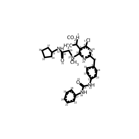 CC(C(=O)O)c1c(Cl)nc(Cc2ccc(NC(=O)Nc3ccccc3)cc2)nc1N(C)CC(=O)NC1CCCC1